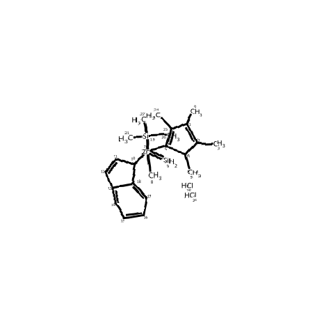 CC1=C(C)C(C)[C]([Zr]([CH3])(=[SiH2])([CH]2C=Cc3ccccc32)[Si](C)(C)C)=C1C.Cl.Cl